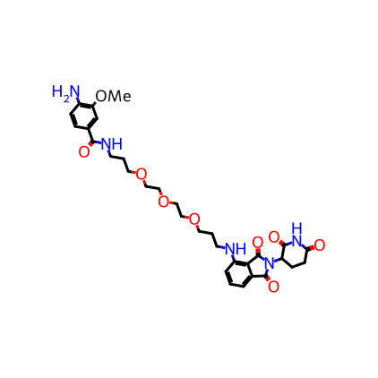 COc1cc(C(=O)NCCCOCCOCCOCCCNc2cccc3c2C(=O)N(C2CCC(=O)NC2=O)C3=O)ccc1N